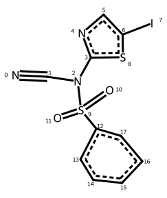 N#CN(c1ncc(I)s1)S(=O)(=O)c1ccccc1